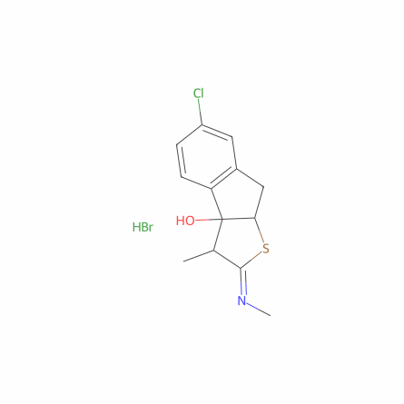 Br.CN=C1SC2Cc3cc(Cl)ccc3C2(O)C1C